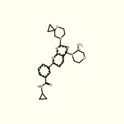 C[C@H]1COCCN1c1nc(N2CCOC3(CC3)C2)nc2nc(-c3cccc(C(=O)NC4CC4)c3)ccc12